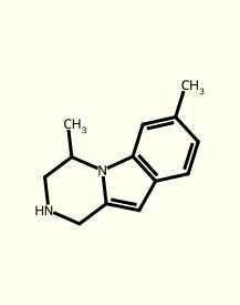 Cc1ccc2cc3n(c2c1)C(C)CNC3